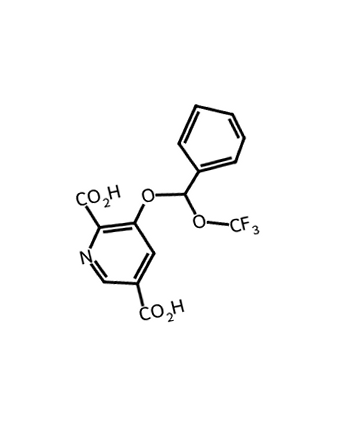 O=C(O)c1cnc(C(=O)O)c(OC(OC(F)(F)F)c2ccccc2)c1